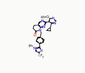 COc1ncnc(C2CC2)c1-c1ncc2c(n1)N(Cc1ccc(-c3nc(C(F)(F)F)cn3C(C)C)cc1)C(=O)CC2